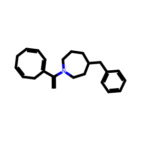 C=C(/C1=C/C=CC/C=C\C1)N1CCCC(Cc2ccccc2)CC1